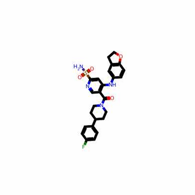 NS(=O)(=O)c1cc(Nc2ccc3c(c2)CCO3)c(C(=O)N2CCC(c3ccc(F)cc3)CC2)cn1